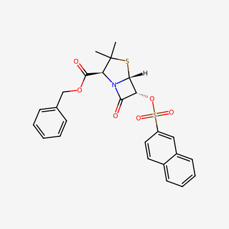 CC1(C)S[C@@H]2[C@H](OS(=O)(=O)c3ccc4ccccc4c3)C(=O)N2[C@H]1C(=O)OCc1ccccc1